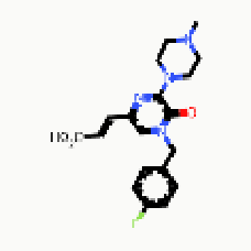 CN1CCN(c2nc(/C=C/C(=O)O)cn(Cc3ccc(F)cc3)c2=O)CC1